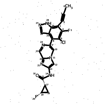 CC#Cc1c(F)c(Cl)c(-c2cn3cc(NC(=O)[C@@H]4C[C@@H]4F)nc3cn2)c2cn[nH]c12